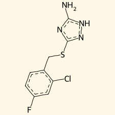 Nc1nc(SCc2ccc(F)cc2Cl)n[nH]1